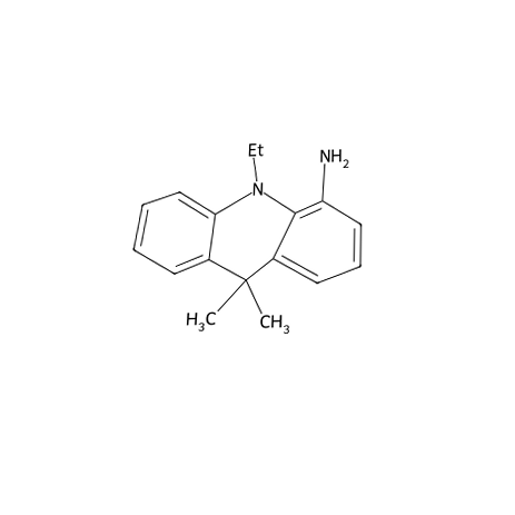 CCN1c2ccccc2C(C)(C)c2cccc(N)c21